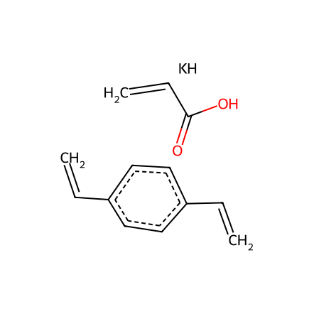 C=CC(=O)O.C=Cc1ccc(C=C)cc1.[KH]